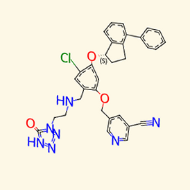 N#Cc1cncc(COc2cc(O[C@H]3CCc4c(-c5ccccc5)cccc43)c(Cl)cc2CNCCn2nn[nH]c2=O)c1